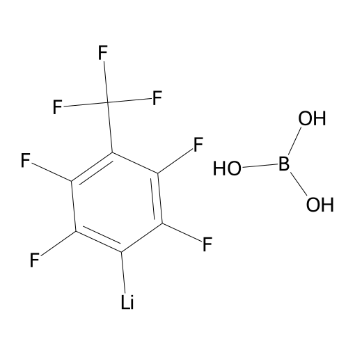 OB(O)O.[Li][c]1c(F)c(F)c(C(F)(F)F)c(F)c1F